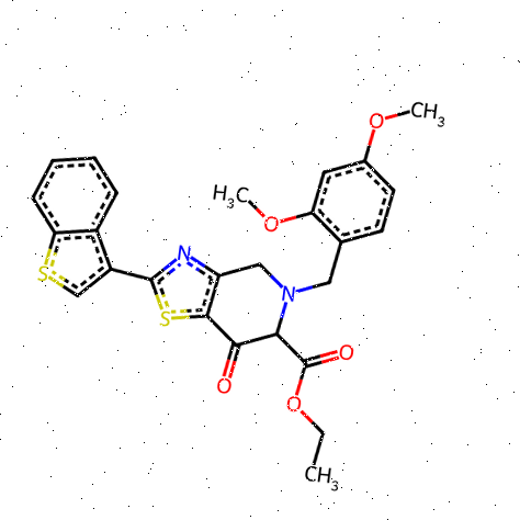 CCOC(=O)C1C(=O)c2sc(-c3csc4ccccc34)nc2CN1Cc1ccc(OC)cc1OC